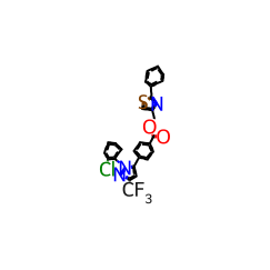 O=C(OCc1csc(-c2ccccc2)n1)c1ccc(-c2cc(C(F)(F)F)nn2-c2ccccc2Cl)cc1